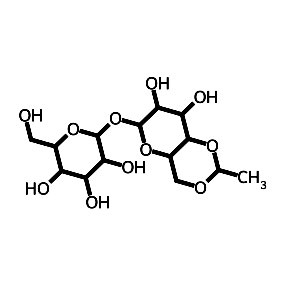 CC1OCC2OC(OC3OC(CO)C(O)C(O)C3O)C(O)C(O)C2O1